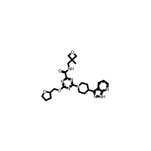 CC1(CNC(=O)c2nc(OCC3CCCO3)nc(N3CCC(c4n[nH]c5ncccc45)CC3)n2)COC1